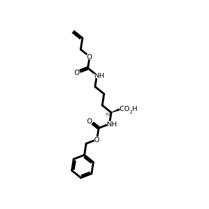 C=CCOC(=O)NCCC[C@H](NC(=O)OCc1ccccc1)C(=O)O